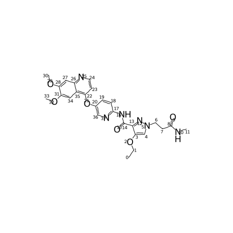 CCOc1cn(CCC(=O)NC)nc1C(=O)Nc1ccc(Oc2ccnc3cc(OC)c(OC)cc23)cn1